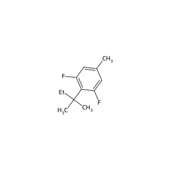 CCC(C)(C)c1c(F)cc(C)cc1F